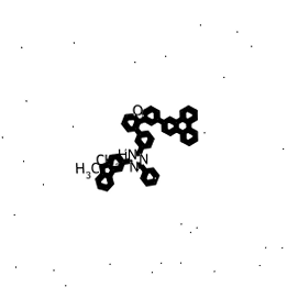 CC1(C)c2ccccc2-c2cc(C3N=C(c4ccccc4)N=C(c4cccc(-c5cccc6oc7ccc(-c8ccc9c%10ccccc%10c%10ccccc%10c9c8)cc7c56)c4)N3)ccc21